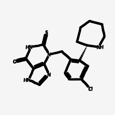 O=c1[nH]c(=S)n(Cc2ccc(Cl)cc2[C@@H]2CCCCCN2)c2nc[nH]c12